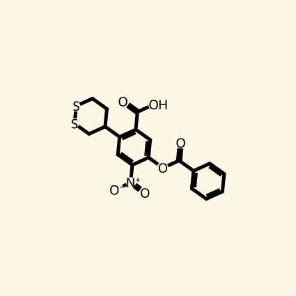 O=C(Oc1cc(C(=O)O)c(C2CCSSC2)cc1[N+](=O)[O-])c1ccccc1